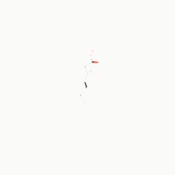 O=C(O)C[C@H](O)C=CCCSSS